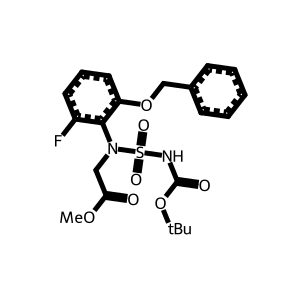 COC(=O)CN(c1c(F)cccc1OCc1ccccc1)S(=O)(=O)NC(=O)OC(C)(C)C